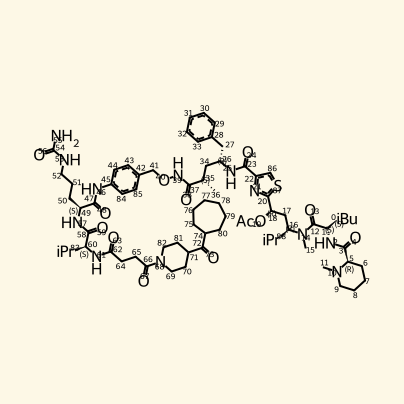 CC[C@H](C)[C@H](NC(=O)[C@H]1CCCCN1C)C(=O)N(C)[C@H](C[C@@H](OC(C)=O)c1nc(C(=O)N[C@@H](Cc2ccccc2)C[C@H](C)C(=O)NOCc2ccc(NC(=O)[C@H](CCCNC(N)=O)NC(=O)[C@@H](NC(=O)CCC(=O)N3CCC(C(=O)C4CCCCCC4)CC3)C(C)C)cc2)cs1)C(C)C